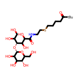 CC(C)(C)C(=O)CCCCSCCNC(=O)C(O)C(O)[C@H](O[C@@H]1OC(CO)[C@H](O)C(O)C1O)C(O)CO